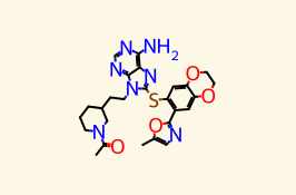 CC(=O)N1CCCC(CCn2c(Sc3cc4c(cc3-c3ncc(C)o3)OCCO4)nc3c(N)ncnc32)C1